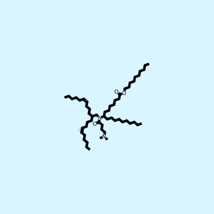 CCCCC/C=C\CCCC(CCC/C=C\CCCCC)CN(C(=O)CCCN(C)C)C(CCCCCCCCCC)CCCCCCC(=O)OCCCCCCCCCC